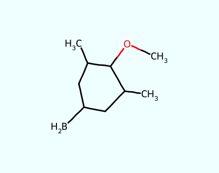 BC1CC(C)C(OC)C(C)C1